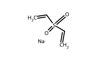 C=CS(=O)(=O)C=C.[Na]